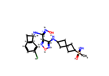 CS(=N)(=O)C1CC2(CC(Nc3nonc3/C(=N\O)N[C@H]3Cc4ccc(F)cc43)C2)C1